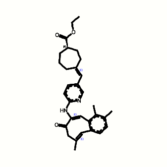 CCOC(=O)[C@@H]1CCC/C(=C\c2ccc(N/C3=C/c4c(ccc(C)c4C)/C=C(\C)CC3=O)nc2)CC1